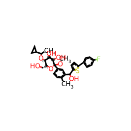 COC1(c2ccc(C)c(C(O)c3ccc(-c4ccc(F)cc4)s3)c2)O[C@H](CO)[C@@H](OC(C)C2CC2)[C@H](O)[C@H]1O